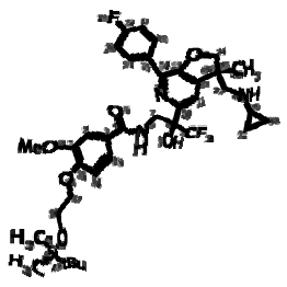 COc1cc(C(=O)NCC(O)(c2cc3c(c(-c4ccc(F)cc4)n2)OC[C@]3(C)CNC2CC2)C(F)(F)F)ccc1OCCO[Si](C)(C)C(C)(C)C